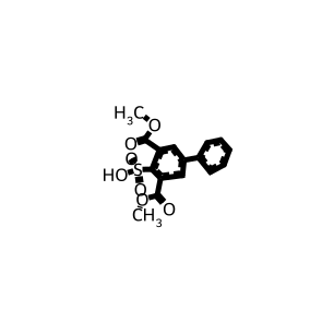 COC(=O)c1cc(-c2ccccc2)cc(C(=O)OC)c1S(=O)(=O)O